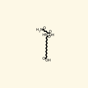 NC(=O)CCC(NC(=O)CCCCCCCCCCCCC(=O)O)C(=O)O